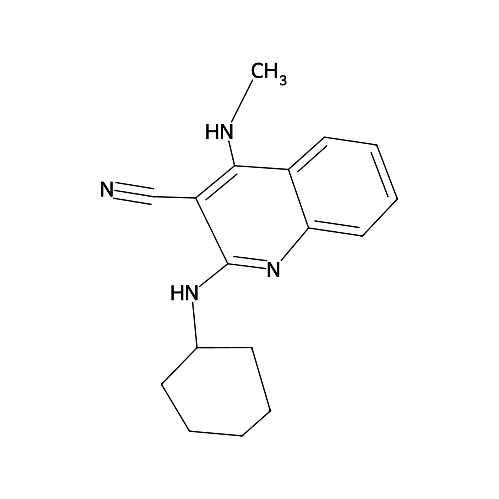 CNc1c(C#N)c(NC2CCCCC2)nc2ccccc12